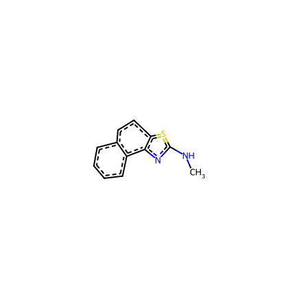 CNc1nc2c(ccc3ccccc32)s1